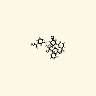 O=C(O)c1cccc(CCNC(=O)[C@@H]2c3ccccc3C(=O)N([C@H]3CCCC[C@@H]3O)[C@H]2c2ccc(Cl)cc2)c1